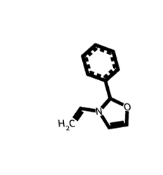 C=CN1C=COC1c1ccccc1